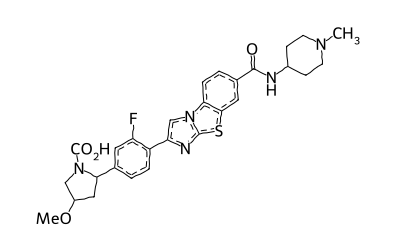 COC1CC(c2ccc(-c3cn4c(n3)sc3cc(C(=O)NC5CCN(C)CC5)ccc34)c(F)c2)N(C(=O)O)C1